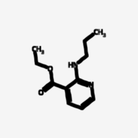 CCCNc1ncccc1C(=O)OCC